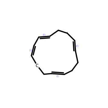 [CH]1/C=C/CC/C=C/CC/C=C\C=C\C1